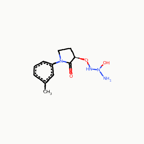 Cc1cccc(N2CC[C@@H](ONN(N)O)C2=O)c1